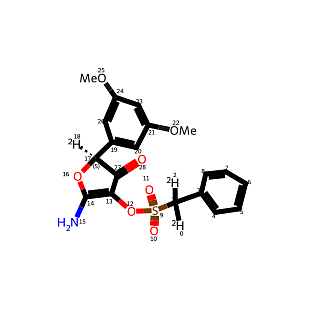 [2H]C([2H])(c1ccccc1)S(=O)(=O)OC1=C(N)O[C@@]([2H])(c2cc(OC)cc(OC)c2)C1=O